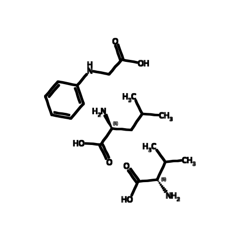 CC(C)C[C@H](N)C(=O)O.CC(C)[C@H](N)C(=O)O.O=C(O)CNc1ccccc1